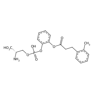 Cc1ccccc1CCC(=O)Oc1ccccc1OP(=O)(O)OC[C@H](N)C(=O)O